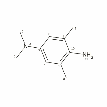 Cc1cc(N(C)C)cc(C)c1N